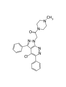 CN1CCN(C(=O)Cn2nc(-c3ccccc3)c3c(Cl)c(-c4ccccc4)nnc32)CC1